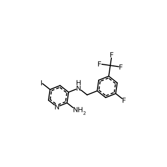 Nc1ncc(I)cc1NCc1cc(F)cc(C(F)(F)F)c1